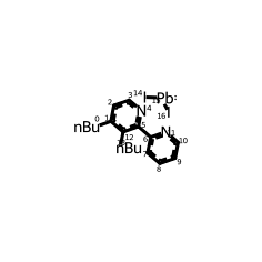 CCCCc1ccnc(-c2ccccn2)c1CCCC.[I][Pb][I]